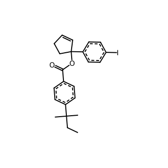 CCC(C)(C)c1ccc(C(=O)OC2(c3ccc(I)cc3)C=CCC2)cc1